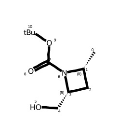 C[C@@H]1C[C@H](CO)N1C(=O)OC(C)(C)C